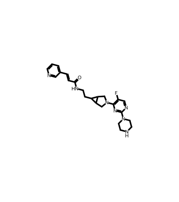 O=C(/C=C/c1cccnc1)NCCC1C2CN(c3nc(N4CCNCC4)ncc3F)CC12